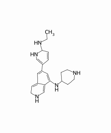 CCNC1C=CC(c2cc(NC3CCNCC3)c3c(c2)=CCNC=3)=CN1